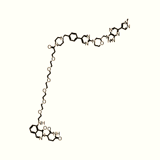 Cn1cc(-c2cnc3c(nnn3C[C@@H]3CN(c4ncc(-c5ccc(CN6CCN(C(=O)CCOCCOCCOCCOCCOCCOCCNc7cccc8cnn(C9CCC(=O)NC9=O)c(=O)c78)CC6)cc5)cn4)CCO3)n2)cn1